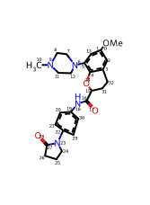 COc1cc2c(c(N3CCN(C)CC3)c1)OC(C(=O)Nc1ccc(N3CCCC3=O)cc1)CC2